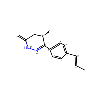 C=C1C[C@@H](C)C(c2ccc(/C=C/C)cc2)=NN1